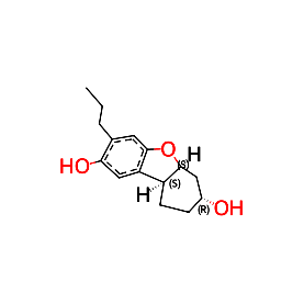 CCCc1cc2c(cc1O)[C@@H]1CC[C@@H](O)C[C@@H]1O2